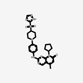 Cc1cc(=O)n(C2CCCC2)c2nc(Nc3ccc(N4CCC(S(=O)(=O)c5ncn[nH]5)CC4)cc3)ncc12